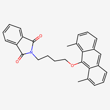 Cc1cccc2cc3cccc(C)c3c(OCCCCN3C(=O)c4ccccc4C3=O)c12